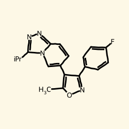 Cc1onc(-c2ccc(F)cc2)c1-c1ccc2nnc(C(C)C)n2c1